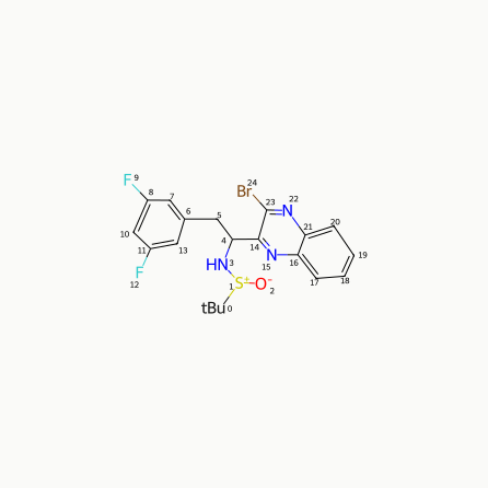 CC(C)(C)[S+]([O-])NC(Cc1cc(F)cc(F)c1)c1nc2ccccc2nc1Br